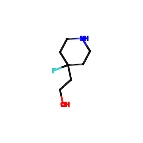 OCCC1(F)CCNCC1